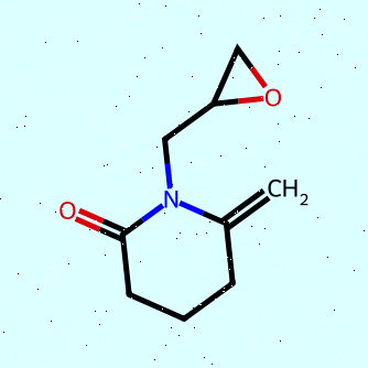 C=C1CCCC(=O)N1CC1CO1